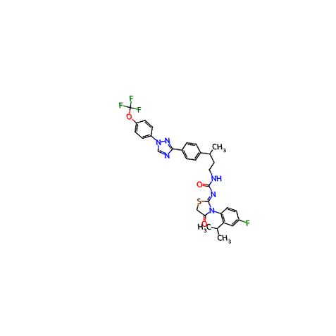 CC(C)c1cc(F)ccc1N1C(=O)CS/C1=N\C(=O)NCCC(C)c1ccc(-c2ncn(-c3ccc(OC(F)(F)F)cc3)n2)cc1